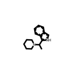 CC(c1[nH]cc2ccccc12)N1CCCCC1